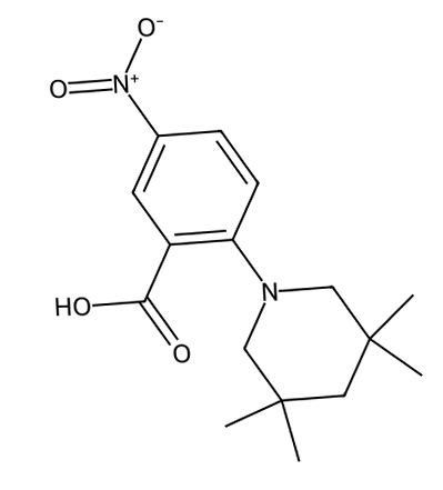 CC1(C)CN(c2ccc([N+](=O)[O-])cc2C(=O)O)CC(C)(C)C1